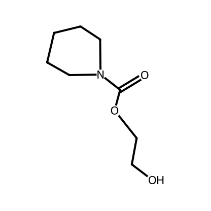 O=C(OCCO)N1CCCCC1